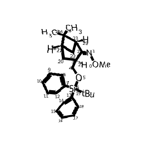 CON=C1[C@@H](CO[Si](c2ccccc2)(c2ccccc2)C(C)(C)C)C[C@H]2C[C@@H]1C2(C)C